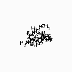 CCCCC(CN)Nc1nc(Nc2ccc3c(cnn3CC(F)F)c2)c(C(N)=O)cc1F